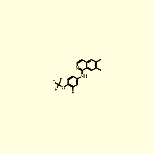 Cc1cc2ccnc(Nc3ccc(OC(F)(F)F)c(F)c3)c2cc1C